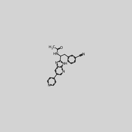 CC(=O)NC(Cc1cccc(C#N)c1)c1nc2cc(-c3ccncc3)cnc2[nH]1